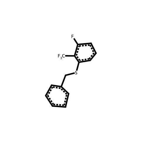 Fc1cccc(SCc2ccccc2)c1C(F)(F)F